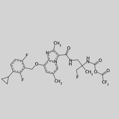 Cc1cc(OCc2c(F)ccc(C3CC3)c2F)c2nc(C)c(C(=O)NCC(C)(CF)NC(=O)OC(=O)C(F)(F)F)n2c1